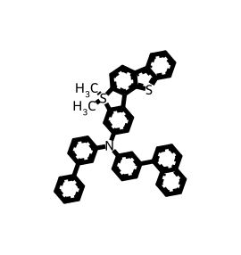 CS1(C)c2cc(N(c3cccc(-c4ccccc4)c3)c3cccc(-c4cccc5ccccc45)c3)ccc2-c2c1ccc1c2sc2ccccc21